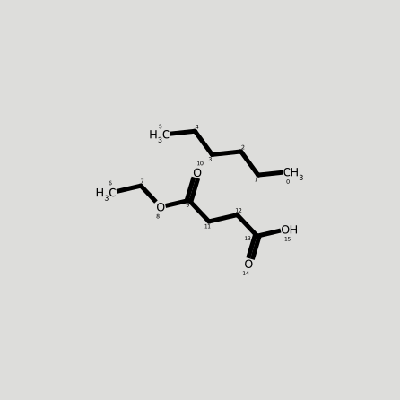 CCCCCC.CCOC(=O)CCC(=O)O